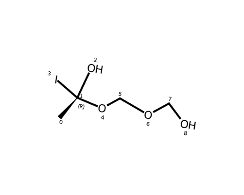 C[C@](O)(I)OCOCO